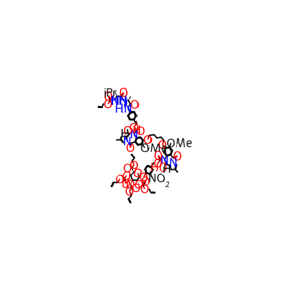 C=CCOC(=O)N[C@H](C(=O)N[C@@H](C)C(=O)Nc1ccc(COC(=O)N2c3cc(OCCCCCOc4cc5c(cc4OC)C(=O)N4C=C(C)C[C@H]4[C@H](O)N5C(=O)OCc4ccc(O[C@@H]5O[C@H](C(=O)OCC=C)[C@@H](OC(=O)OCC=C)[C@H](OC(=O)OCC=C)[C@H]5OC(=O)OCC=C)c([N+](=O)[O-])c4)c(OC)cc3C(=O)N3C=C(C)C[C@H]3[C@@H]2O)cc1)C(C)C